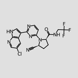 N#C[C@@H]1CC[C@H](C(=O)NCC(F)(F)F)N1c1ccnc(-c2c[nH]c3ncc(Cl)cc23)n1